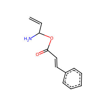 C=CC(N)OC(=O)/C=C/c1ccccc1